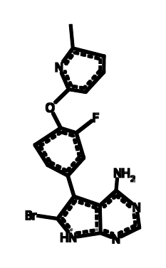 Cc1cccc(Oc2ccc(-c3c(Br)[nH]c4ncnc(N)c34)cc2F)n1